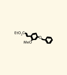 CCOC(=O)/C=C/c1ccc(OCc2ccccc2)cc1OC